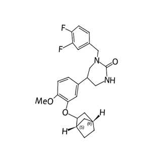 COc1ccc(C2CNC(=O)N(Cc3ccc(F)c(F)c3)C2)cc1OC1C[C@@H]2CC[C@H]1C2